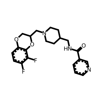 O=C(NCC1CCN(CC2COc3ccc(F)c(F)c3O2)CC1)c1cccnc1